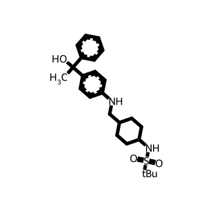 CC(O)(c1ccccc1)c1ccc(NCC2CCC(NS(=O)(=O)C(C)(C)C)CC2)cc1